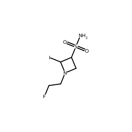 NS(=O)(=O)C1CN(CCF)C1I